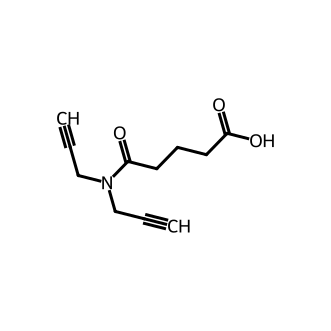 C#CCN(CC#C)C(=O)CCCC(=O)O